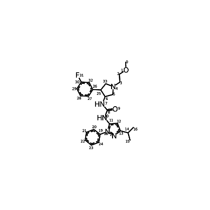 COCCN1CC(NC(=O)Nc2cc(C(C)C)nn2-c2ccccc2)C(c2cccc(F)c2)C1